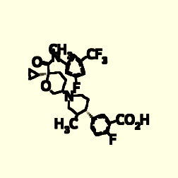 C[C@H]1CN([C@@H]2CC[C@@](C(=O)N(C)c3cc(F)cc(C(F)(F)F)c3)(C3CC3)OC2)CC[C@@H]1c1ccc(F)c(C(=O)O)c1